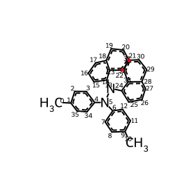 Cc1ccc(N(c2ccc(C)cc2)N(c2cccc3ccccc23)c2cccc3ccccc23)cc1